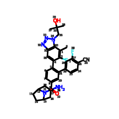 Cc1c(F)c(-c2ccc(C(=O)N3C4CCC3CC(N)C4)cc2-c2ccc(C#N)c(F)c2)cc2nnn(CC(C)(C)O)c12